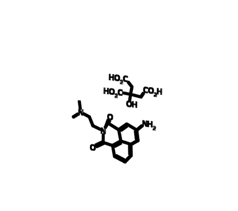 CN(C)CCN1C(=O)c2cccc3cc(N)cc(c23)C1=O.O=C(O)CC(O)(CC(=O)O)C(=O)O